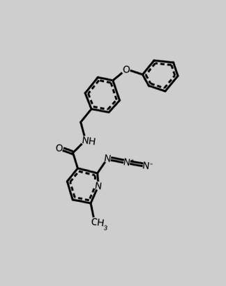 Cc1ccc(C(=O)NCc2ccc(Oc3ccccc3)cc2)c(N=[N+]=[N-])n1